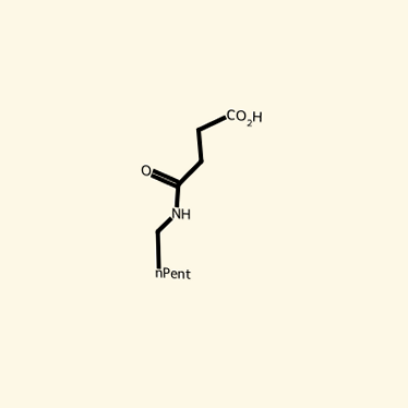 CCCCCCNC(=O)CCC(=O)O